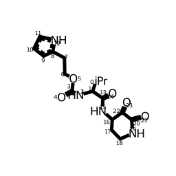 CC(C)C(NC(=O)OCCc1ccc[nH]1)C(=O)NC1CCNC(=O)C1=O